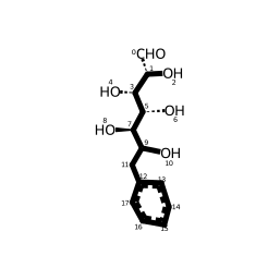 O=C[C@H](O)[C@@H](O)[C@H](O)[C@H](O)C(O)Cc1ccccc1